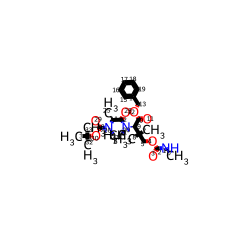 CNC(=O)OCC(C)(C)[C@@H](C(=O)OCc1ccccc1)N(C)C(=O)[C@@H](C)N(C)C(=O)OC(C)(C)C